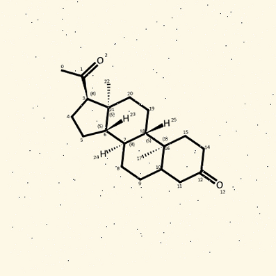 CC(=O)[C@@H]1CC[C@H]2[C@@H]3CCC4CC(=O)CC[C@]4(C)[C@H]3CC[C@]12C